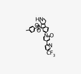 Cc1ccc(S(=O)(=O)n2c3c(c4ccc(-n5ccc(-c6ccc(C(F)(F)F)cn6)cc5=O)cc42)CCNC3)cc1